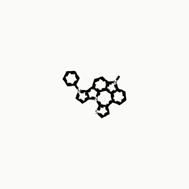 Cn1c2cccc3c4ccsc4n4c5ccn(-c6ccccc6)c5c5ccc1c(c32)c54